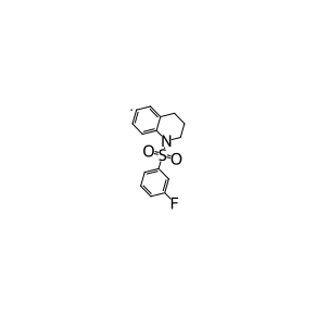 O=S(=O)(c1cccc(F)c1)N1CCCc2c[c]ccc21